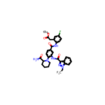 CC(C)(C)OC(=O)Cc1cc(F)ccc1NC(=O)c1ccc(N2CCCCC2C(N)=O)c(NC(=O)c2nn(CC(F)(F)F)c3ccccc23)c1